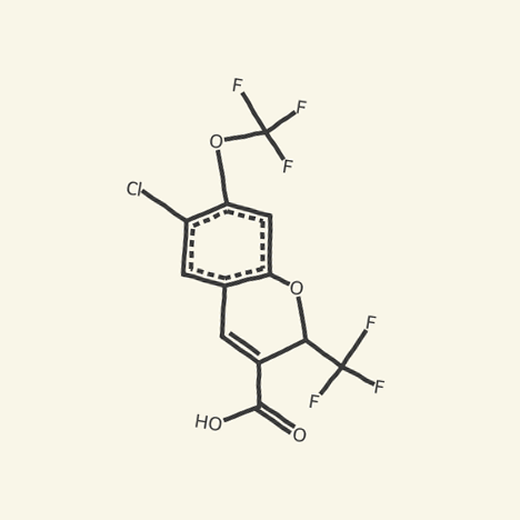 O=C(O)C1=Cc2cc(Cl)c(OC(F)(F)F)cc2OC1C(F)(F)F